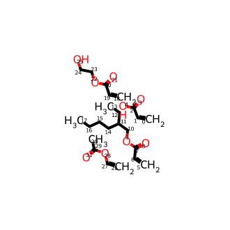 C=CC(=O)O.C=CC(=O)OCC(CC)CCCC.C=CC(=O)OCCO.C=COC(C)=O